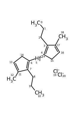 CCCC1=[C]([Hf+2][C]2=C(CCC)C(C)=CC2)CC=C1C.[Cl-].[Cl-]